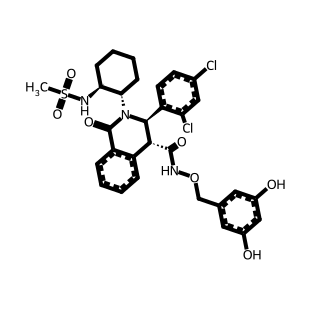 CS(=O)(=O)N[C@H]1CCCC[C@@H]1N1C(=O)c2ccccc2[C@@H](C(=O)NOCc2cc(O)cc(O)c2)[C@@H]1c1ccc(Cl)cc1Cl